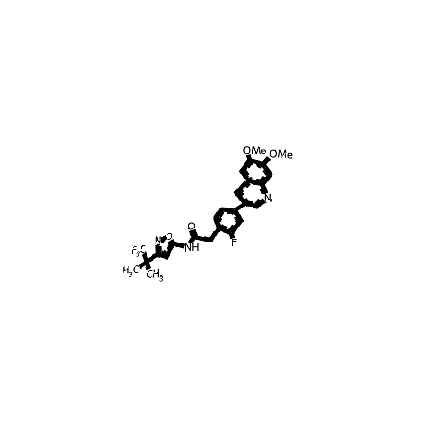 COc1cc2cc(-c3ccc(CC(=O)Nc4cc(C(C)(C)C(F)(F)F)no4)c(F)c3)cnc2cc1OC